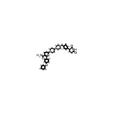 NC(=O)c1ccc(N2CCC(N3CCN(Cc4ccc(C5CCC(=O)NC5=O)cc4)CC3)CC2)nc1-c1ccc(Oc2ccccc2)cc1